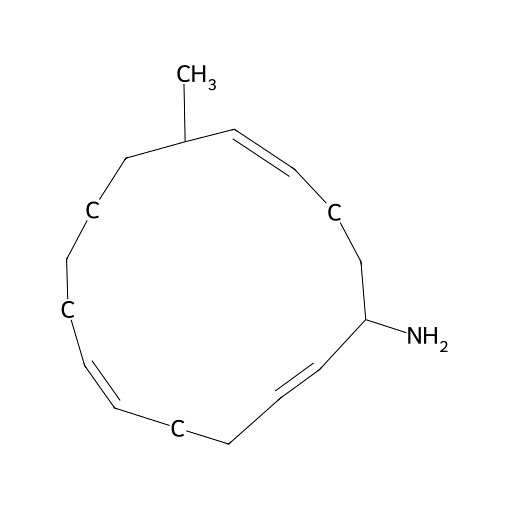 CC1C=CCCC(N)C=CCCC=CCCCC1